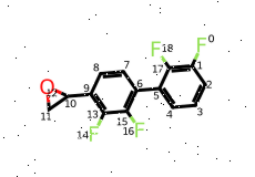 Fc1cccc(-c2ccc(C3CO3)c(F)c2F)c1F